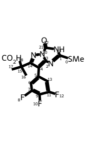 CSc1nc2c(-c3cc(F)c(F)c(F)c3)c(C(C)(C)C(=O)O)nn2c(=O)[nH]1